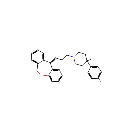 CC(=O)OC1(c2ccc(Cl)cc2)CCN(CCC=C2c3ccccc3COc3ccccc32)CC1